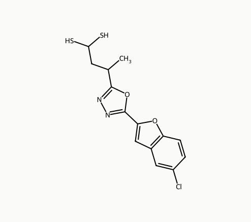 CC(CC(S)S)c1nnc(-c2cc3cc(Cl)ccc3o2)o1